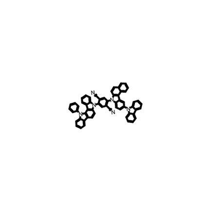 N#Cc1cc(-n2c3ccccc3c3c2ccc2c4ccccc4n(-c4ccccc4)c23)c(C#N)cc1-n1c2ccc(-n3c4ccccc4c4ccccc43)cc2c2c3ccccc3ccc21